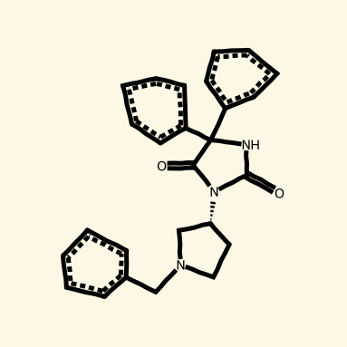 O=C1NC(c2ccccc2)(c2ccccc2)C(=O)N1[C@@H]1CCN(Cc2ccccc2)C1